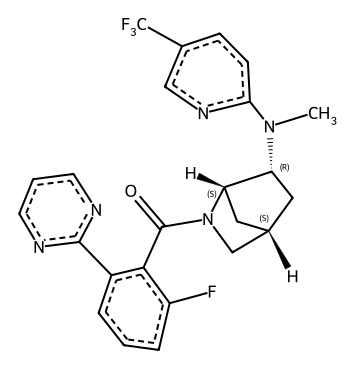 CN(c1ccc(C(F)(F)F)cn1)[C@@H]1C[C@H]2C[C@@H]1N(C(=O)c1c(F)cccc1-c1ncccn1)C2